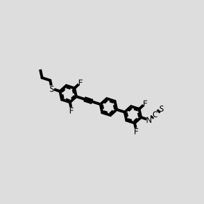 CCCSc1cc(F)c(C#Cc2ccc(-c3cc(F)c(N=C=S)c(F)c3)cc2)c(F)c1